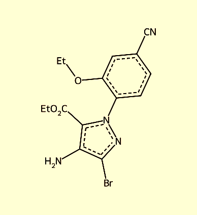 CCOC(=O)c1c(N)c(Br)nn1-c1ccc(C#N)cc1OCC